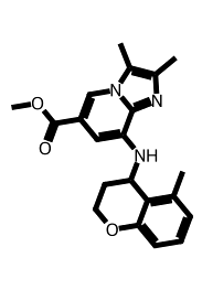 COC(=O)c1cc(NC2CCOc3cccc(C)c32)c2nc(C)c(C)n2c1